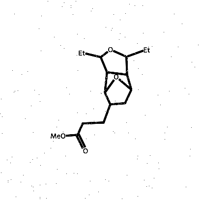 CCC1OC(CC)C2C3OC(CC3CCC(=O)OC)C12